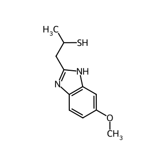 COc1ccc2nc(CC(C)S)[nH]c2c1